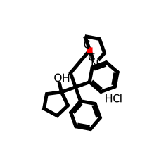 Cl.OC1(C(CC2CC3CCN2CC3)(c2ccccc2)c2ccccc2)CCCC1